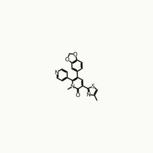 Cc1csc(-c2cc(-c3ccc4c(c3)OCO4)c(-c3ccncc3)n(C)c2=O)n1